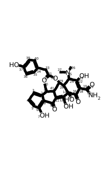 CC1c2cccc(O)c2C(=O)C2=C(O)C3(O)C(=O)C(C(N)=O)=C(O)C(N(C)C)C3C(OC(=O)Cc3ccc(O)cc3)C21